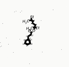 CC/C(C)=C/CCC(C)(CC)OC(=O)/C=C/c1ccccc1